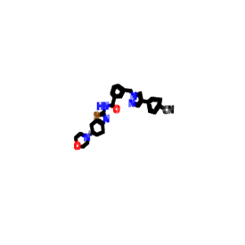 N#Cc1ccc(-c2cnn(Cc3cccc(C(=O)Nc4nc5c(s4)C[C@@H](N4CCOCC4)CC5)c3)c2)cc1